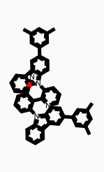 Cc1cc(C)cc(-c2ccc3c(c2)c2ccccc2n3-c2cccnc2-c2c(C#N)cccc2-n2c3ccccc3c3cc(-c4cc(C)cc(C)c4)ccc32)c1